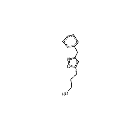 OCCCc1cc(Cc2ccccc2)no1